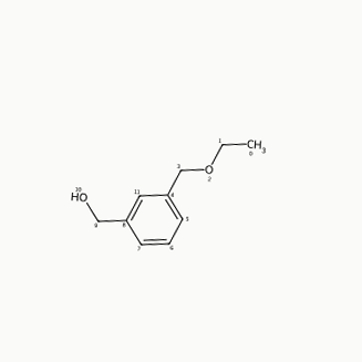 CCOCc1cccc(CO)c1